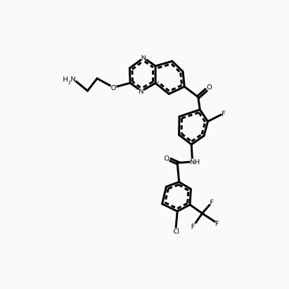 NCCOc1cnc2ccc(C(=O)c3ccc(NC(=O)c4ccc(Cl)c(C(F)(F)F)c4)cc3F)cc2n1